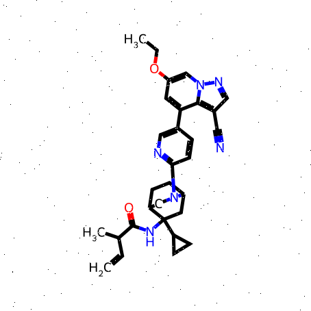 C=CC(C)C(=O)NC1(C2CC2)CC2CCC1CN2c1ccc(-c2cc(OCC)cn3ncc(C#N)c23)cn1